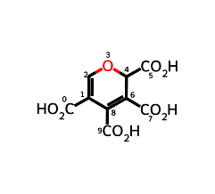 O=C(O)C1=COC(C(=O)O)C(C(=O)O)=C1C(=O)O